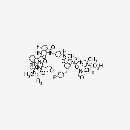 CC1COCCN1C[C@H]1CN(C(=O)O)[C@H](C)CN1CC(=O)N1CC(C)(C(=O)Nc2ccc(NC(=O)c3ccc(F)c(NC(=O)[C@@H]4c5ccccc5CN4C(=O)C(NC(=O)C(C)N(C)C(=O)OC(C)(C)C)C4CCOCC4)c3)cc2)c2ccc(Cc3ccc(F)cc3)cc21